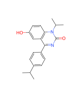 CC(C)c1ccc(-c2nc(=O)n(C(C)C)c3ccc(O)cc23)cc1